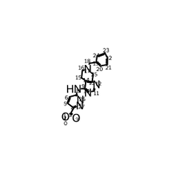 COC(=O)c1ccc(Nc2ncnc3c2CCN(Cc2ccccc2)C3)nn1